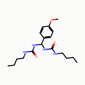 CCCCNC(=O)NC(NC(=O)NCCCC)c1ccc(OC)cc1